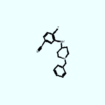 N#Cc1ccc(F)c(NC2CCN(Cc3ccccc3)CC2)c1